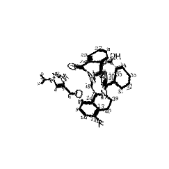 CC(C)n1cc(COc2ccc(F)c3c2[C@@H](CN2Cc4ccccc4C2=O)N(C(=O)C2CCCC[C@H]2C(=O)O)CC3)nn1